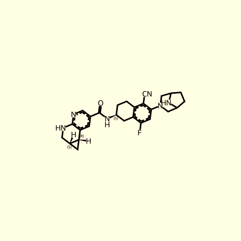 N#Cc1c(N2CC3CCC(C2)N3)cc(F)c2c1CC[C@H](NC(=O)c1cnc3c(c1)[C@@H]1C[C@@H]1CN3)C2